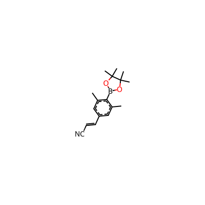 Cc1cc(/C=C/C#N)cc(C)c1B1OC(C)(C)C(C)(C)O1